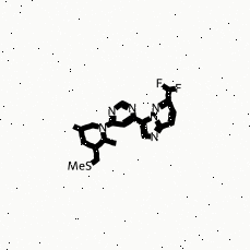 CSCC1CC(C)CN(c2cc(-c3cnc4ccc(C(F)F)nn34)ncn2)C1C